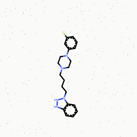 Fc1cccc(N2CCN(CCCCN3NNc4ccccc43)CC2)c1